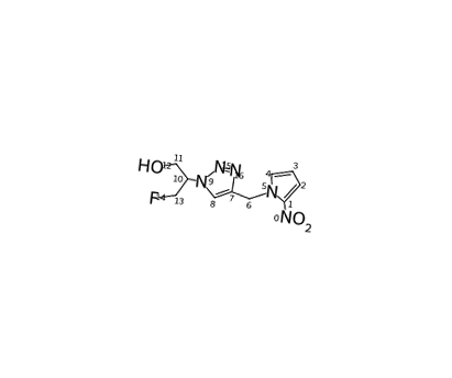 O=[N+]([O-])c1cccn1Cc1cn(C(CO)CF)nn1